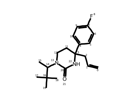 C=CCC1(c2ccc(F)cc2)CCN(C(C)C(C)(C)C)C(=O)N1